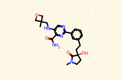 CN1CC[C@@](O)(CCc2cccc(-c3ncc(NCC4(C)COC4)c(C(N)=O)n3)c2)C1=O